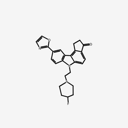 O=C1CCc2c1ccc1c2c2cc(-c3ncco3)ccc2n1CCN1CCC(F)CC1